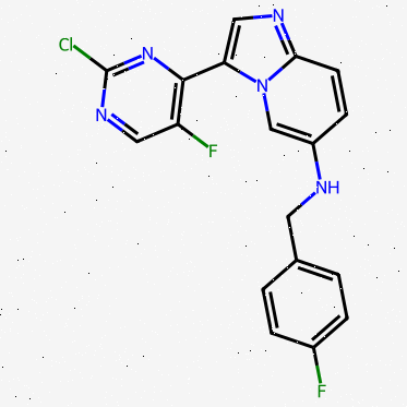 Fc1ccc(CNc2ccc3ncc(-c4nc(Cl)ncc4F)n3c2)cc1